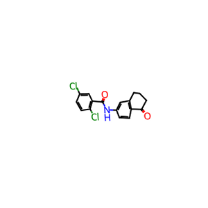 O=C(Nc1ccc2c(c1)CCCC2=O)c1cc(Cl)ccc1Cl